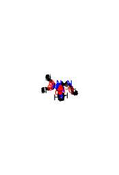 CC(C)(C)OC(=O)N1[C@@H]2CC[C@H]1C[C@@H](c1cc(N(COCC[Si](C)(C)C)COCC[Si](C)(C)C)n3ncc(-c4cnc(CO[Si](C)(C)C(C)(C)C)s4)c3n1)C2